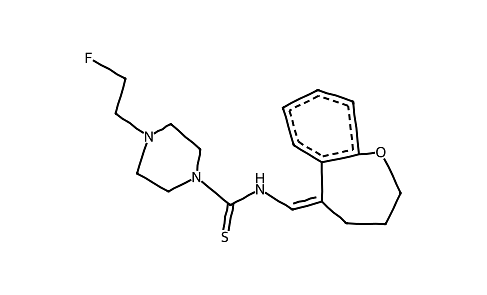 FCCN1CCN(C(=S)N/C=C2/CCCOc3ccccc32)CC1